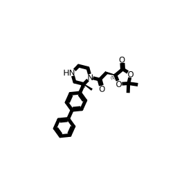 CC1(C)OC(=O)[C@H](CC(=O)N2CCNC[C@@]2(C)c2ccc(-c3ccccc3)cc2)O1